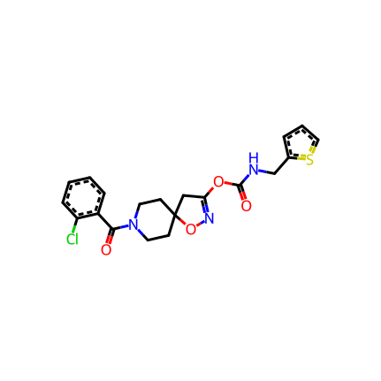 O=C(NCc1cccs1)OC1=NOC2(CCN(C(=O)c3ccccc3Cl)CC2)C1